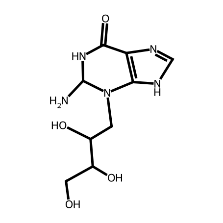 NC1NC(=O)c2nc[nH]c2N1CC(O)C(O)CO